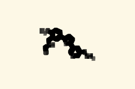 Cc1ccc(-c2ccc(-c3cncc(SN)c3)s2)cc1CNC=O